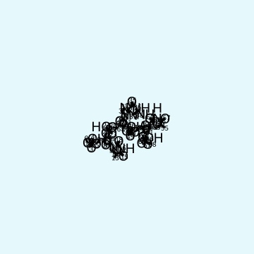 COP(=O)(O)OC[C@H]1O[C@@H](n2cc(C)c(=O)[nH]c2=O)C[C@@H]1OP(=O)(O)OC[C@H]1O[C@@H](n2cnc3c(=O)[nH]c(N)nc32)C[C@@H]1OP(=O)(O)OC[C@H]1O[C@@H](n2cc(C)c(=O)[nH]c2=O)C[C@@H]1OP(=O)(O)OC